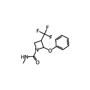 CNC(=O)N1CC(C(F)(F)F)C1Oc1ccccc1